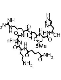 CCC[C@H](NC(=O)[C@H](CCCN)NC(=O)CCCC(N)=O)C(=O)N[C@@H](CCCNC(=N)N)C(=O)NCC(=O)N[C@@H](CSSC)C(=O)N[C@@H](C=O)Cc1c[nH]cn1